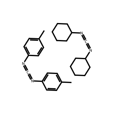 C(=NC1CCCCC1)=NC1CCCCC1.Cc1ccc(N=C=Nc2ccc(C)cc2)cc1